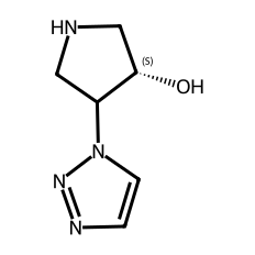 O[C@H]1CNCC1n1ccnn1